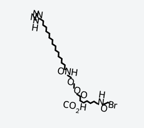 O=C(COCCOCCNC(=O)CCCCCCCCCCCCCCCc1nnn[nH]1)CC(CCCCNC(=O)CBr)C(=O)O